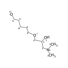 CN(C)CC(O)COCCCCC[O]